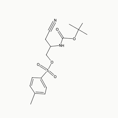 Cc1ccc(S(=O)(=O)OCC(CC#N)NC(=O)OC(C)(C)C)cc1